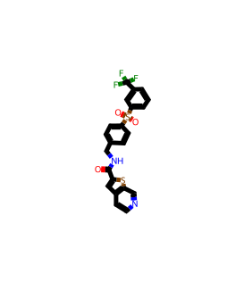 O=C(NCc1ccc(S(=O)(=O)c2cccc(C(F)(F)F)c2)cc1)c1cc2ccncc2s1